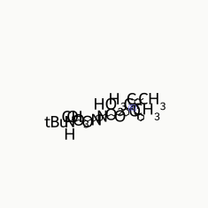 Cc1cc(C)c(/C(C(=O)O)=C(\OCc2ccccc2)C2CCC(OCCOCCN3CCN(CCOCCOCC(=O)NC(C)C(C)(C)C)CC3)CC2)c(C)c1